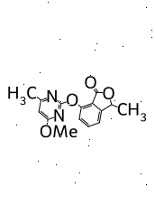 COc1cc(C)nc(Oc2cccc3c2C(=O)OC3C)n1